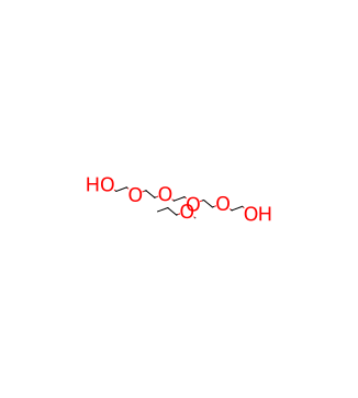 CCCOC.OCCOCCOCCOCCOCCO